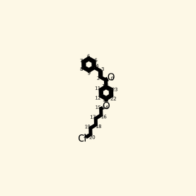 O=C(/C=C/c1ccccc1)c1ccc(OCCCCCCCl)cc1